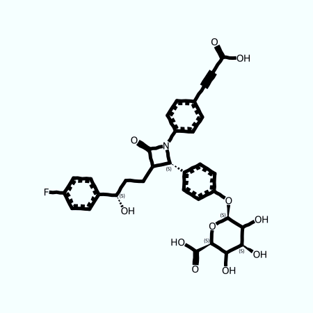 O=C(O)C#Cc1ccc(N2C(=O)C(CC[C@H](O)c3ccc(F)cc3)[C@H]2c2ccc(O[C@@H]3O[C@H](C(=O)O)C(O)[C@H](O)C3O)cc2)cc1